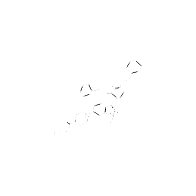 Cn1nc(-c2ccc(OCc3ccccc3)nc2OCc2ccccc2)c2ccc(N3CCC(C(=O)OC(C)(C)C)CC3)cc21